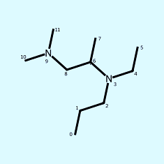 CCCN(CC)[C](C)CN(C)C